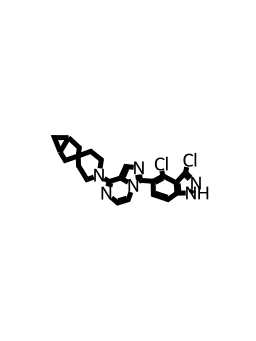 Clc1n[nH]c2ccc(-c3ncc4c(N5CCC6(CC5)CC5CC5C6)nccn34)c(Cl)c12